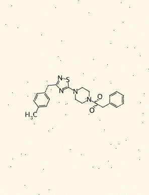 Cc1ccc(Cc2nsc(N3CCN(S(=O)(=O)Cc4ccccc4)CC3)n2)cc1